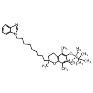 Cc1c(C)c2c(c(C)c1O[Si](C)(C)C(C)(C)C)CC[C@@](C)(CCCCCCCCCn1cnc3ccccc31)O2